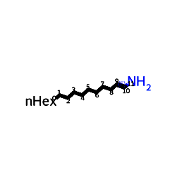 CCCCCCCCCCCCCC/C=C/N